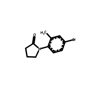 Cc1cc(Br)ccc1N1CCCC1=O